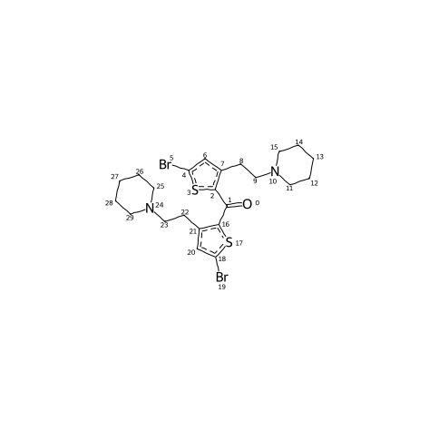 O=C(c1sc(Br)cc1CCN1CCCCC1)c1sc(Br)cc1CCN1CCCCC1